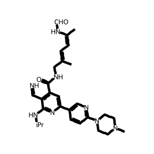 C/C(=C/C=C(\C)CNC(=O)c1cc(-c2ccc(N3CCN(C)CC3)nc2)nc(NC(C)C)c1C=N)NC=O